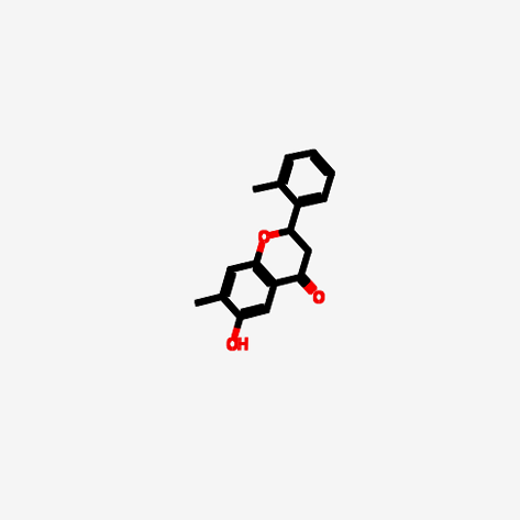 Cc1cc2c(cc1O)C(=O)CC(c1ccccc1C)O2